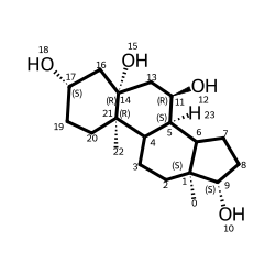 C[C@]12CCC3[C@H](C1CC[C@@H]2O)[C@H](O)C[C@]1(O)C[C@@H](O)CC[C@]31C